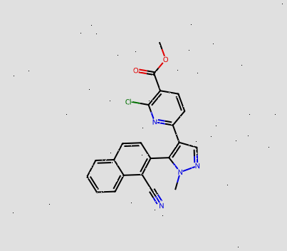 COC(=O)c1ccc(-c2cnn(C)c2-c2ccc3ccccc3c2C#N)nc1Cl